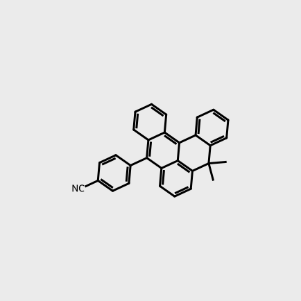 CC1(C)c2ccccc2-c2c3ccccc3c(-c3ccc(C#N)cc3)c3cccc1c23